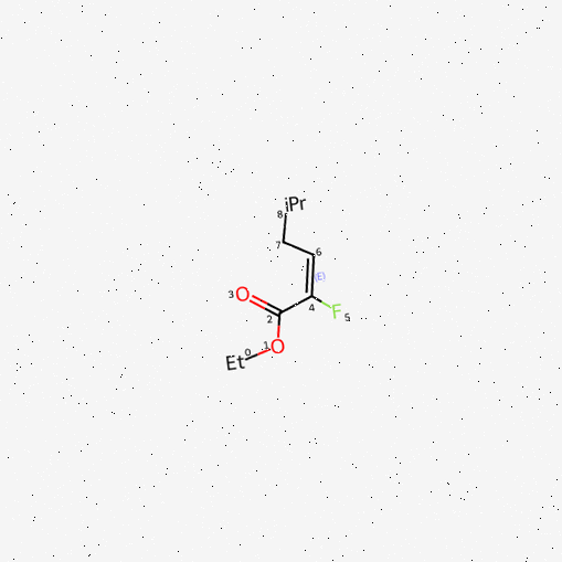 CCOC(=O)/C(F)=C\CC(C)C